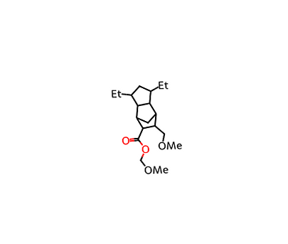 CCC1CC(CC)C2C3CC(C(COC)C3C(=O)OCOC)C12